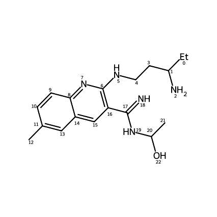 CCC(N)CCNc1nc2ccc(C)cc2cc1C(=N)NC(C)O